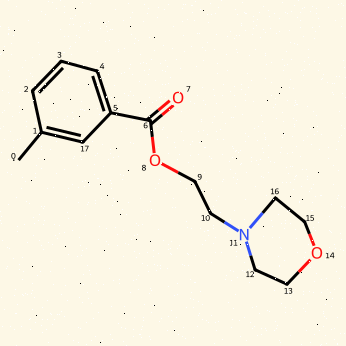 [CH2]c1cccc(C(=O)OCCN2CCOCC2)c1